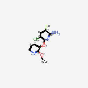 CC(=O)COc1ncccc1Oc1nc(N)c(F)cc1Cl